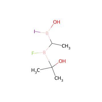 CC(B(O)I)B(F)C(C)(C)O